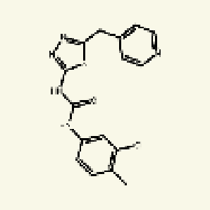 Cc1ccc(NC(=O)Nc2nnc(Cc3ccncc3)s2)cc1Cl